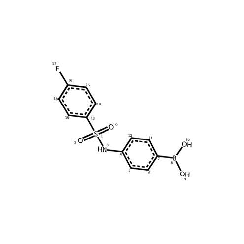 O=S(=O)(Nc1ccc(B(O)O)cc1)c1ccc(F)cc1